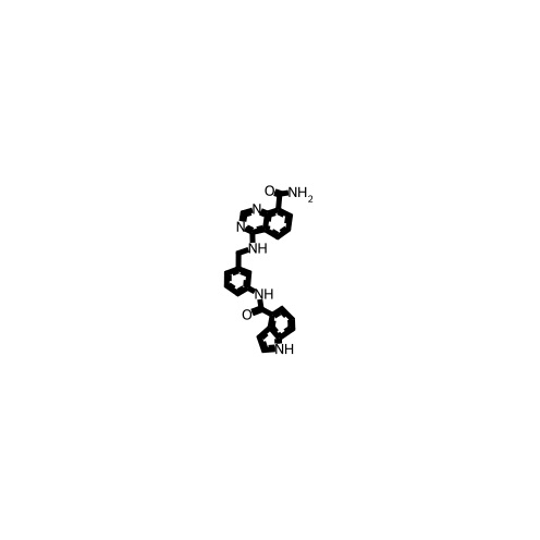 NC(=O)c1cccc2c(NCc3cccc(NC(=O)c4cccc5[nH]ccc45)c3)ncnc12